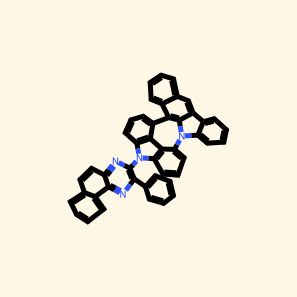 c1ccc(-c2nc3c(ccc4ccccc43)nc2-n2c3cccc4c3c3c2cccc3n2c3ccccc3c3cc5ccccc5c4c32)cc1